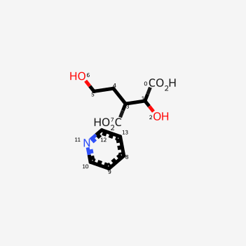 O=C(O)C(O)C(CCO)C(=O)O.c1ccncc1